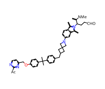 C=C(NC)C(CCC=O)n1c(=C)c2ccc(N3CC4(CC(Cc5ccc(C(C)(C)c6ccc(OCc7ccnc(C(C)=O)n7)cc6)cc5)C4)C3)cc2c1=C